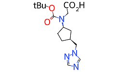 CC(C)(C)OC(=O)N(CC(=O)O)[C@@H]1CC[C@H](Cn2cncn2)C1